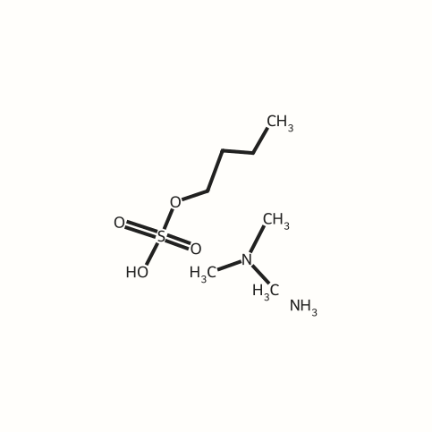 CCCCOS(=O)(=O)O.CN(C)C.N